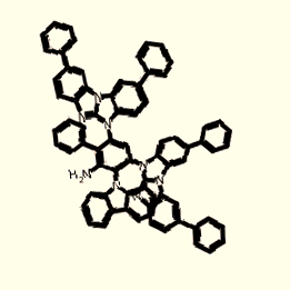 Nc1c(-c2ccccc2)c(-n2c3ccc(-c4ccccc4)cc3n3c4cc(-c5ccccc5)ccc4nc23)cc(-n2c3ccc(-c4ccccc4)cc3n3c4cc(-c5ccccc5)ccc4nc23)c1-n1c2ccccc2c2ccccc21